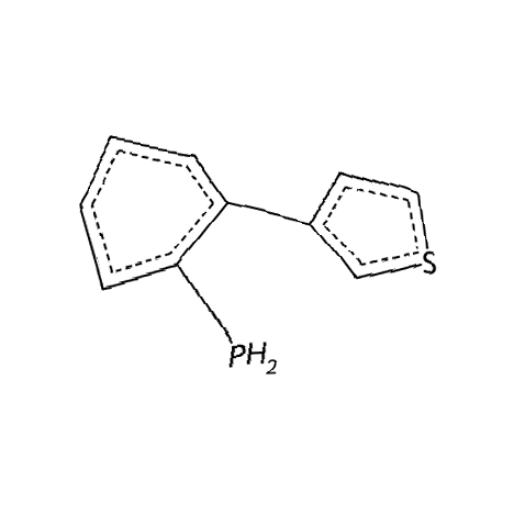 Pc1ccccc1-c1ccsc1